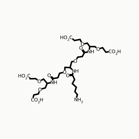 NCCCCCC(=O)NC(COCCC(=O)NC(COCCC(=O)O)COCCC(=O)O)COCCC(=O)NC(COCCC(=O)O)COCCC(=O)O